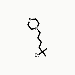 CCC(C)(C)CCCCN1CCSCC1